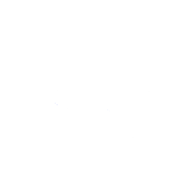 CC1(C)c2ccccc2-c2ccc(N(c3cccc(-c4ccccc4)c3)c3ccc4c(c3)c3cc5ccc6c7ccccc7oc6c5cc3n4-c3ccccc3)cc21